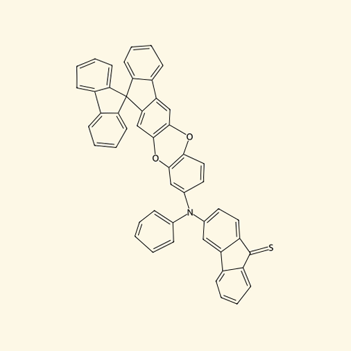 S=C1c2ccccc2-c2cc(N(c3ccccc3)c3ccc4c(c3)Oc3cc5c(cc3O4)-c3ccccc3C53c4ccccc4-c4ccccc43)ccc21